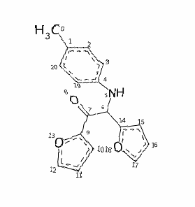 Cc1ccc(NC(C(=O)c2ccco2)c2ccco2)cc1